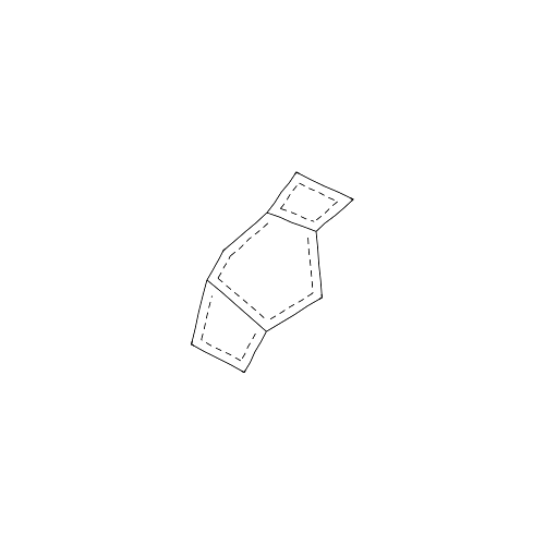 c1cc2cc3ccc3cc12